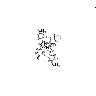 Cc1ccc(-c2cn(-c3nc(-c4ccc(C)cc4)cn3-c3ccc(C)cc3)c(-c3ccc(C)cc3)n2)cc1